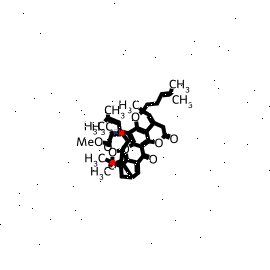 COC(=O)/C(C)=C\CC12OC(C)(C)C3CC(C=C4C(=O)c5c(c(CC=C(C)C)c6c7c5OC(=O)CC7=CC(C)(CCC=C(C)C)O6)OC431)C2=O